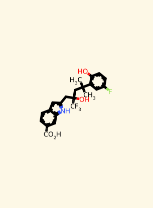 CC(C)(CC(O)(Cc1cc2ccc(C(=O)O)cc2[nH]1)C(F)(F)F)c1cc(F)ccc1O